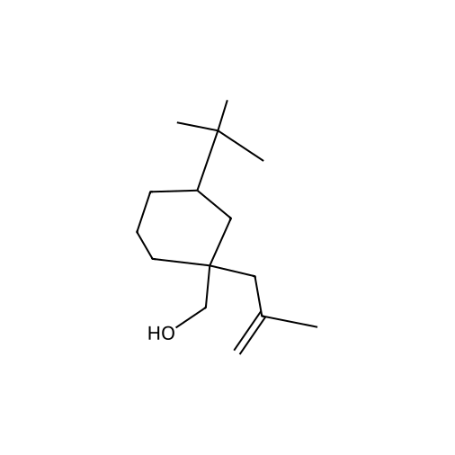 C=C(C)CC1(CO)CCCC(C(C)(C)C)C1